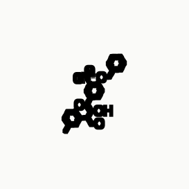 Cc1ccc2c(c1)C(C=O)C(O)=C(c1ccc(OCc3ccccc3)c([N+](=O)[O-])c1)O2